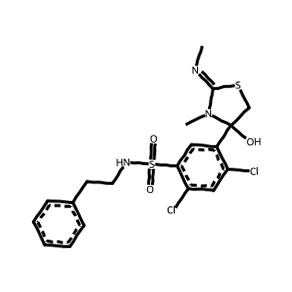 C/N=C1\SCC(O)(c2cc(S(=O)(=O)NCCc3ccccc3)c(Cl)cc2Cl)N1C